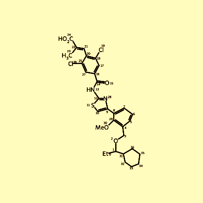 CCC(OCc1cccc(-c2csc(NC(=O)c3cc(Cl)c(C=C(C)C(=O)O)c(Cl)c3)n2)c1OC)C1CCCCC1